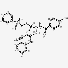 CC(C)(CCS(=O)(=O)c1ccccc1)C(NC(=O)c1ccc(Cl)cc1)N/C(=N/C#N)Nc1cccnc1